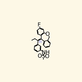 CC/C(=C1/c2ccccc2COc2cc(F)ccc21)c1cccc(NS(C)(=O)=O)c1